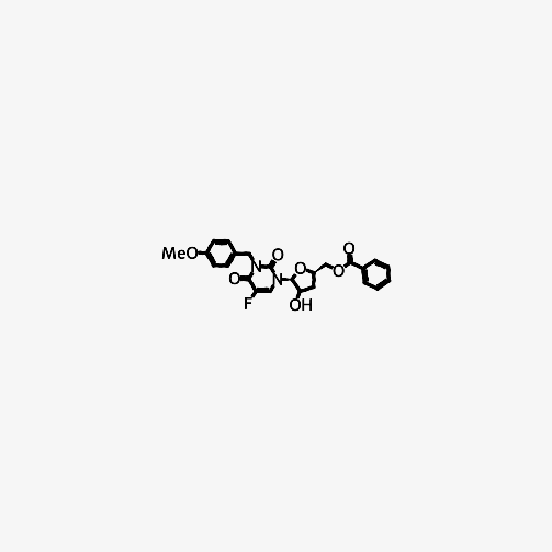 COc1ccc(Cn2c(=O)c(F)cn([C@H]3O[C@@H](COC(=O)c4ccccc4)CC3O)c2=O)cc1